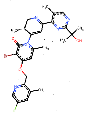 Cc1cc(F)cnc1COc1cc(C)n(C2=CC(c3nc(C(C)(C)O)ncc3C)=NC[C@H]2C)c(=O)c1Br